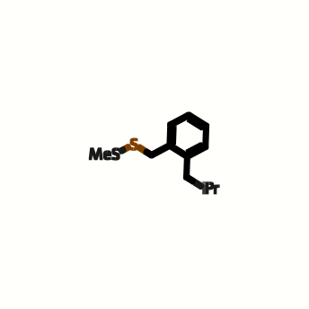 CSSCc1ccccc1CC(C)C